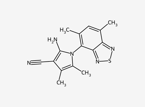 Cc1cc(C)c2nsnc2c1-n1c(C)c(C)c(C#N)c1N